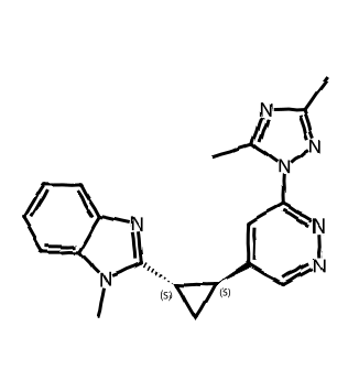 Cc1nc(C)n(-c2cc([C@H]3C[C@@H]3c3nc4ccccc4n3C)cnn2)n1